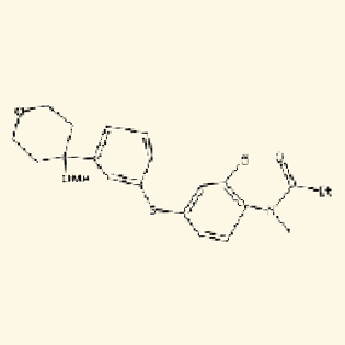 CCC(=O)N(C)c1ccc(Sc2cccc(C3(OC)CCOCC3)c2)cc1Cl